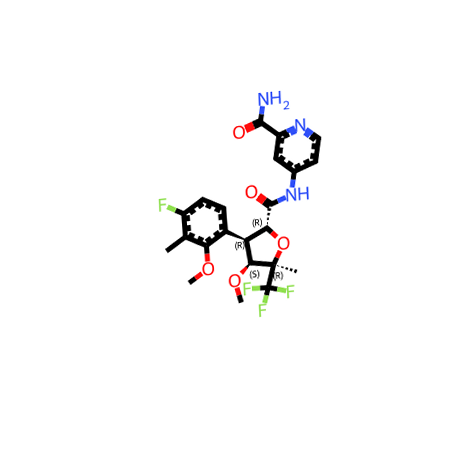 COc1c([C@H]2[C@H](C(=O)Nc3ccnc(C(N)=O)c3)O[C@@](C)(C(F)(F)F)[C@H]2OC)ccc(F)c1C